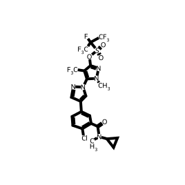 CN(C(=O)c1cc(-c2cnn(-c3c(C(F)(F)F)c(OS(=O)(=O)C(F)(C(F)(F)F)C(F)(F)F)nn3C)c2)ccc1Cl)C1CC1